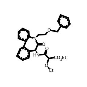 CCOC(=O)C(OCC)C(=O)N[C@@H]1C(=O)N(CCOCc2ccccc2)c2ccccc2-c2ccccc21